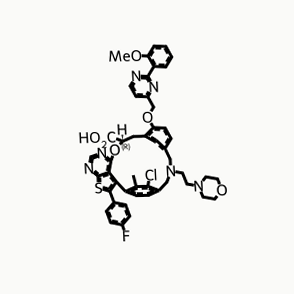 COc1ccccc1-c1nccc(COc2ccc3cc2C[C@H](C(=O)O)Oc2ncnc4sc(-c5ccc(F)cc5)c(c24)-c2ccc(c(Cl)c2C)CN(CCN2CCOCC2)C3)n1